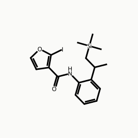 CC(C[Si](C)(C)C)c1ccccc1NC(=O)c1ccoc1I